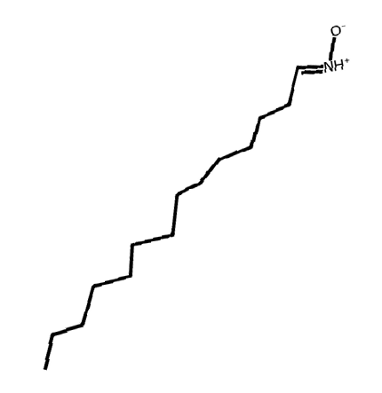 CCCCCCCCCCCCCC=[NH+][O-]